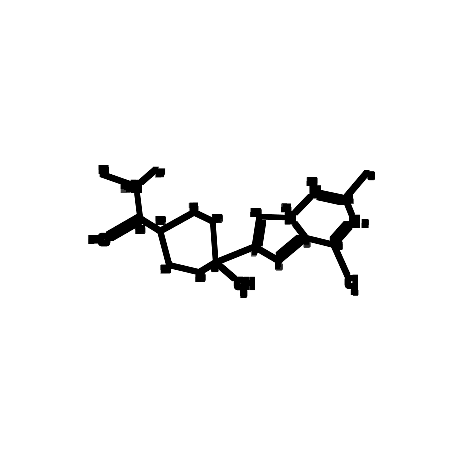 Cc1nc(Cl)c2cc(C3(O)CCC(C(=O)N(C)C)CC3)cn2n1